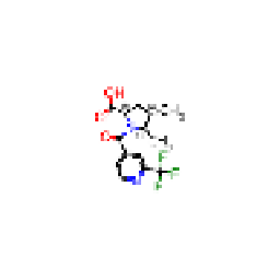 C[C@@H]1C[C@H](C(=O)O)N(C(=O)c2ccnc(C(F)(F)F)c2)[C@@H]1C